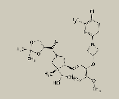 COc1ccc([C@@H]2CN(C(=O)[C@@H]3COC(C)(C)O3)C[C@@]2(C)C(C)O)cc1OC1CN(c2ccc(Cl)c(C)n2)C1